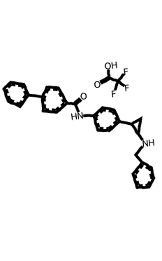 O=C(Nc1ccc(C2CC2NCc2ccccc2)cc1)c1ccc(-c2ccccc2)cc1.O=C(O)C(F)(F)F